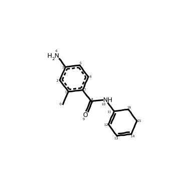 Cc1cc(N)ccc1C(=O)NC1=CC=CCC1